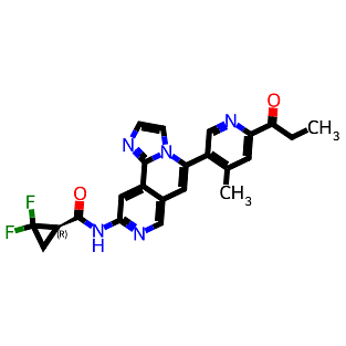 CCC(=O)c1cc(C)c(-c2cc3cnc(NC(=O)[C@H]4CC4(F)F)cc3c3nccn23)cn1